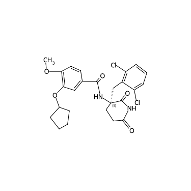 COc1ccc(C(=O)N[C@]2(Cc3c(Cl)cccc3Cl)CCC(=O)NC2=O)cc1OC1CCCC1